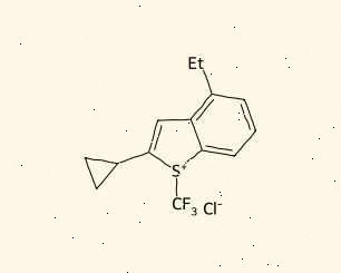 CCc1cccc2c1cc(C1CC1)[s+]2C(F)(F)F.[Cl-]